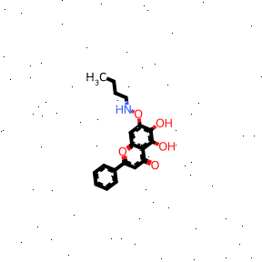 CCCCNOc1cc2oc(-c3ccccc3)cc(=O)c2c(O)c1O